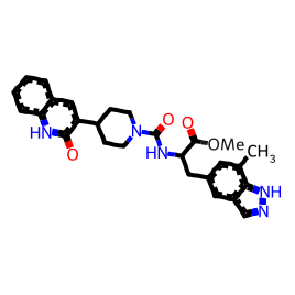 COC(=O)C(Cc1cc(C)c2[nH]ncc2c1)NC(=O)N1CCC(c2cc3ccccc3[nH]c2=O)CC1